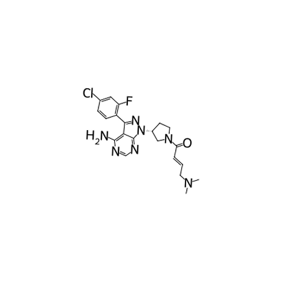 CN(C)C/C=C/C(=O)N1CC[C@@H](n2nc(-c3ccc(Cl)cc3F)c3c(N)ncnc32)C1